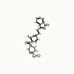 Cc1cc(C=Cc2n[nH]c3ccccc23)ccc1C(=O)N1CCN(C=O)CC1